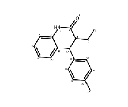 CCC1C(=O)Nc2ccccc2C1c1ccc(C)cc1